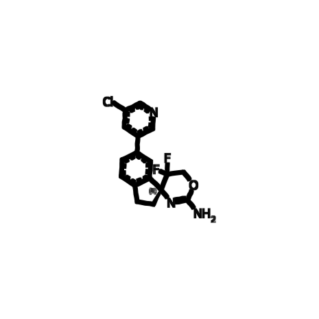 NC1=N[C@@]2(CCc3ccc(-c4cncc(Cl)c4)cc32)C(F)(F)CO1